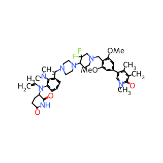 C=CN(c1cccc(CN2CCN(C3CCN(Cc4c(OC)cc(-c5cn(C)c(=O)c(C)c5C)cc4OC)CC3(F)F)CC2)c1N(C)C)C1CCC(=O)NC1=O